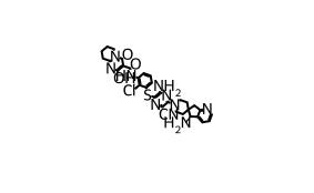 N#Cc1nc(Sc2cccc(NC(=O)c3c(O)nc4n(c3=O)CCCC4)c2Cl)c(N)nc1N1CCC2(CC1)Cc1ncccc1[C@H]2N